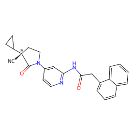 N#C[C@@]1(C2CC2)CCN(c2ccnc(NC(=O)Cc3cccc4ccccc34)c2)C1=O